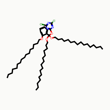 CCCCCCCCCCCCCCCCOc1ccccc1C(OCCCCCCCCCCCCCCCC)(OCCCCCCCCCCCCCCCC)Oc1nc(Cl)nc(Cl)n1